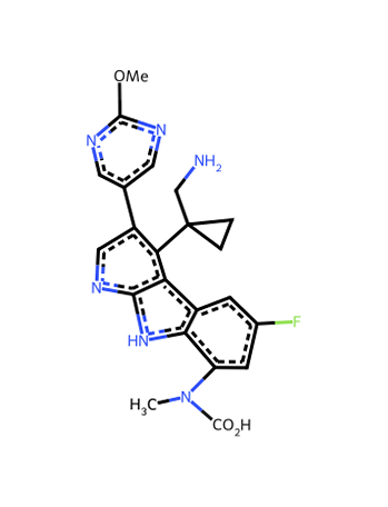 COc1ncc(-c2cnc3[nH]c4c(N(C)C(=O)O)cc(F)cc4c3c2C2(CN)CC2)cn1